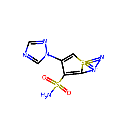 NS(=O)(=O)C1=C2[N+]3=S2(=N3)C=C1n1cncn1